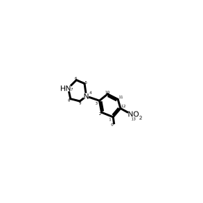 Cc1cc(N2CCNCC2)ccc1[N+](=O)[O-]